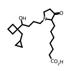 O=C(O)CCCCCCC1C(=O)CCN1CCCC(O)C1(CC2CC2)CCC1